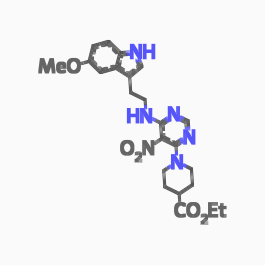 CCOC(=O)C1CCN(c2ncnc(NCCc3c[nH]c4ccc(OC)cc34)c2[N+](=O)[O-])CC1